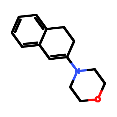 C1=C(N2CCOCC2)CCc2ccccc21